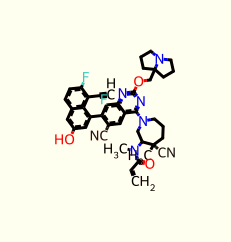 C#Cc1c(F)ccc2cc(O)cc(-c3c(C#N)cc4c(N5CCCC(C)(C#N)C(N(C)C(=O)C=C)C5)nc(OCC56CCCN5CCC6)nc4c3F)c12